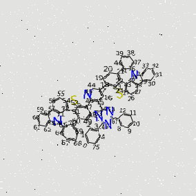 c1ccc(-c2nc(-c3ccccc3)nc(-c3cc(-c4cccc5c4sc4ccc6c7ccccc7n(-c7ccccc7)c6c45)cnc3-c3cccc4c3sc3ccc5c6ccccc6n(-c6ccccc6)c5c34)n2)cc1